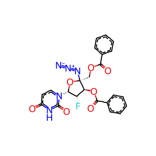 [N-]=[N+]=N[C@]1(COC(=O)c2ccccc2)O[C@@H](n2ccc(=O)[nH]c2=O)[C@@H](F)[C@@H]1OC(=O)c1ccccc1